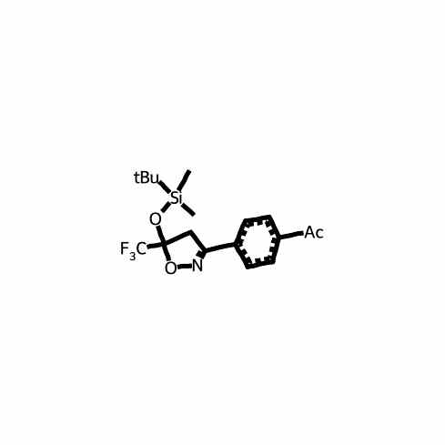 CC(=O)c1ccc(C2=NOC(O[Si](C)(C)C(C)(C)C)(C(F)(F)F)C2)cc1